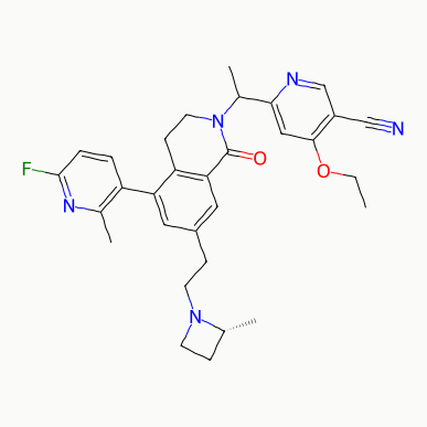 CCOc1cc(C(C)N2CCc3c(cc(CCN4CC[C@H]4C)cc3-c3ccc(F)nc3C)C2=O)ncc1C#N